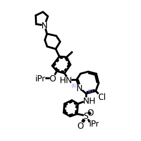 Cc1cc(N/C2=N/C(Nc3ccccc3S(=O)(=O)C(C)C)=C(/Cl)C=C=CC2)c(OC(C)C)cc1C1CCC(N2CCCC2)CC1